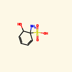 NC1(S(=O)(=O)O)C=CC=CC1O